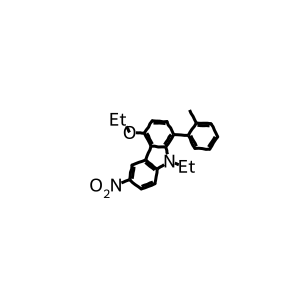 CCOc1ccc(-c2ccccc2C)c2c1c1cc([N+](=O)[O-])ccc1n2CC